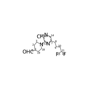 O=CC1CCN(c2nc(CCCC(F)F)cnc2Cl)CC1